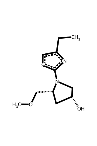 CCc1csc(N2C[C@H](O)C[C@@H]2COC)n1